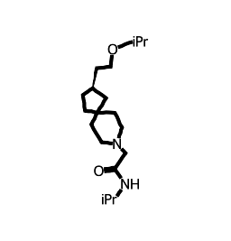 CC(C)NC(=O)CN1CCC2(CC[C@@H](CCOC(C)C)C2)CC1